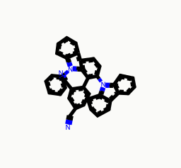 N#Cc1ccc(-c2c(-n3c4ccccc4c4ccccc43)ccc3c4ccccc4n(-c4ccccc4)c23)c(C#N)c1